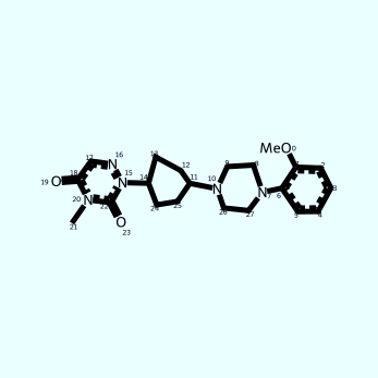 COc1ccccc1N1CCN(C2CCC(n3ncc(=O)n(C)c3=O)CC2)CC1